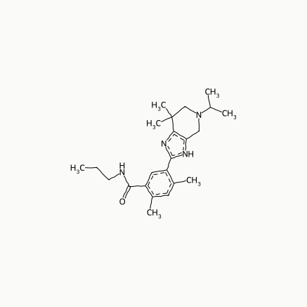 CCCNC(=O)c1cc(-c2nc3c([nH]2)CN(C(C)C)CC3(C)C)c(C)cc1C